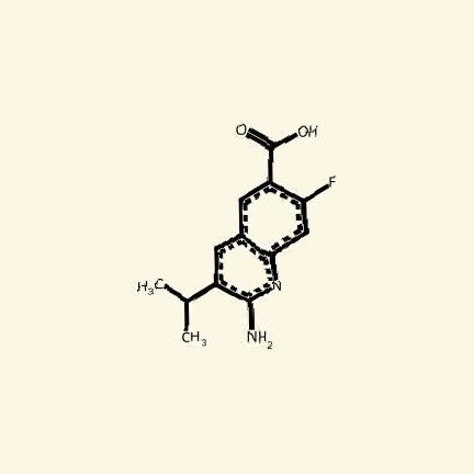 CC(C)c1cc2cc(C(=O)O)c(F)cc2nc1N